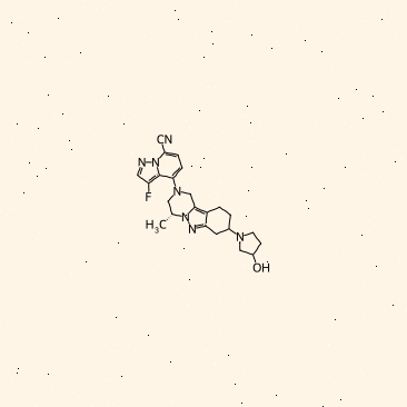 C[C@@H]1CN(c2ccc(C#N)n3ncc(F)c23)Cc2c3c(nn21)CC(N1CCC(O)C1)CC3